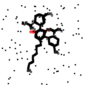 C=C(C)[C@@H]1CCC(C)=C[C@H]1c1c(O)cc(CCCCCCC)c([C@@H]2C=C(C)CC[C@H]2C(=C)C)c1O